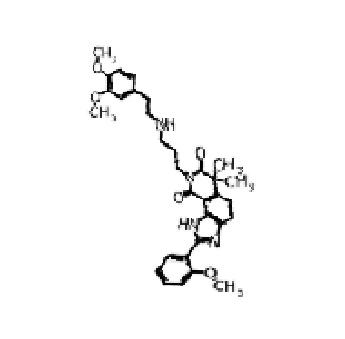 COc1ccc(CCNCCCN2C(=O)c3c(ccc4nc(-c5ccccc5OC)[nH]c34)C(C)(C)C2=O)cc1OC